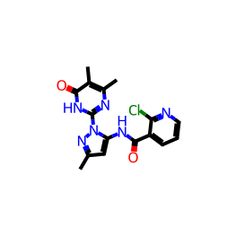 Cc1cc(NC(=O)c2cccnc2Cl)n(-c2nc(C)c(C)c(=O)[nH]2)n1